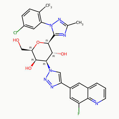 Cc1nc([C@@H]2O[C@H](CO)[C@H](O)[C@H](n3cc(-c4cc(F)c5ncccc5c4)nn3)[C@H]2O)n(-c2cc(Cl)ccc2C(F)(F)F)n1